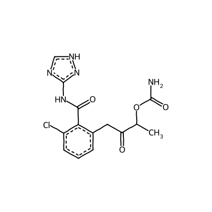 CC(OC(N)=O)C(=O)Cc1cccc(Cl)c1C(=O)Nc1nc[nH]n1